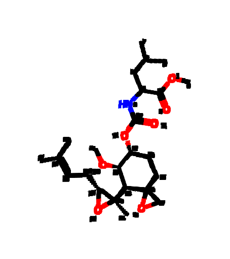 COC(=O)C(CC(C)C)NC(=O)O[C@@H]1CC[C@]2(CO2)[C@@H]([C@@]2(C)O[C@@H]2CC=C(C)C)[C@H]1OC